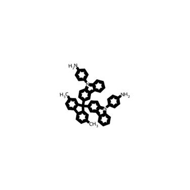 Cc1ccc2c(c1)C(c1ccc3c(c1)c1ccccc1n3-c1ccc(N)cc1)(c1ccc3c(c1)c1ccccc1n3-c1ccc(N)cc1)c1cc(C)ccc1-2